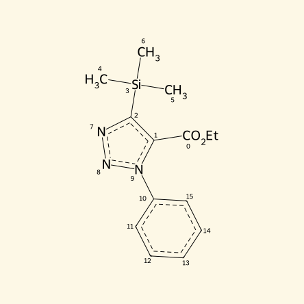 CCOC(=O)c1c([Si](C)(C)C)nnn1-c1ccccc1